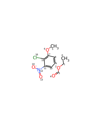 CCOC=O.COc1cccc([N+](=O)[O-])c1Cl